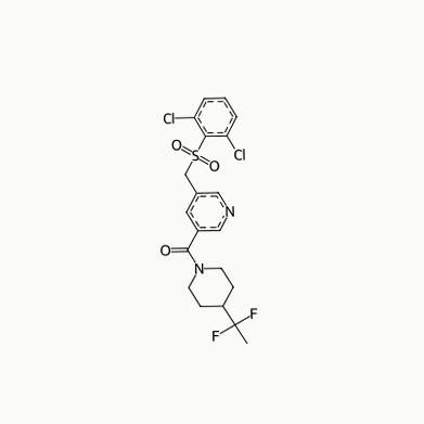 CC(F)(F)C1CCN(C(=O)c2cncc(CS(=O)(=O)c3c(Cl)cccc3Cl)c2)CC1